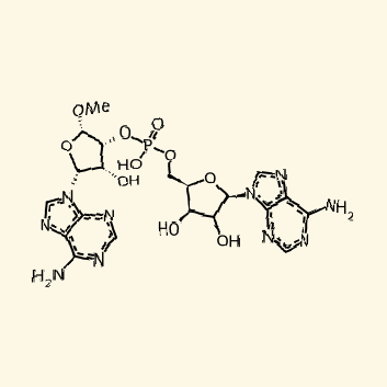 CO[C@H]1O[C@@H](n2cnc3c(N)ncnc32)[C@@H](O)[C@H]1OP(=O)(O)OC[C@H]1O[C@@H](n2cnc3c(N)ncnc32)C(O)[C@H]1O